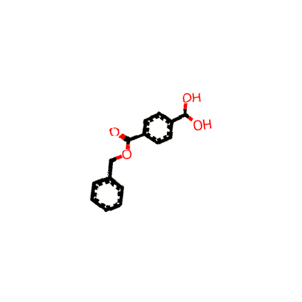 O=C(OCc1ccccc1)c1ccc(C(O)O)cc1